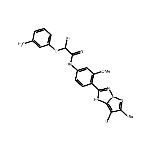 CCC(Oc1cccc(C)c1)C(=O)Nc1ccc(-c2nn3nc(C(C)(C)C)c(Cl)c3[nH]2)c(OC)c1